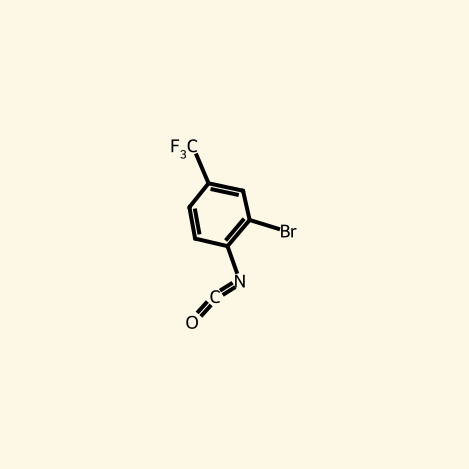 O=C=Nc1ccc(C(F)(F)F)cc1Br